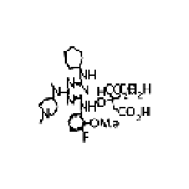 COc1c(F)cccc1Nc1nc(NC2CCCCCC2)nc(N(C)C2CCN(C)CC2)n1.O=C(O)CC(O)(CC(=O)O)C(=O)O